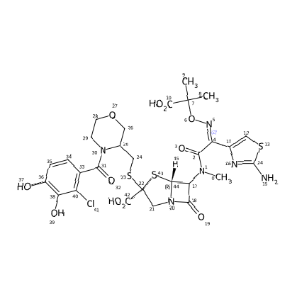 CN(C(=O)/C(=N\OC(C)(C)C(=O)O)c1csc(N)n1)C1C(=O)N2CC(SCC3COCCN3C(=O)c3ccc(O)c(O)c3Cl)(C(=O)O)S[C@H]12